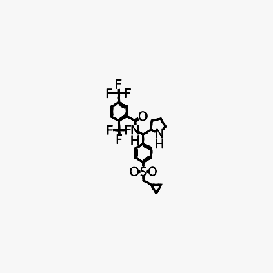 O=C(NC(c1ccc(S(=O)(=O)CC2CC2)cc1)C1CCCN1)c1cc(C(F)(F)F)ccc1C(F)(F)F